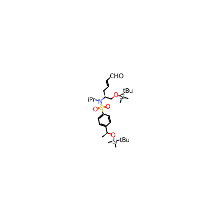 CC(C)N([C@@H](CC=CC=O)CO[Si](C)(C)C(C)(C)C)S(=O)(=O)c1ccc([C@H](C)O[Si](C)(C)C(C)(C)C)cc1